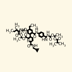 C=Cc1cc(C(=O)Nc2ccc(C(=N)NC(=O)OC(C)OC(=O)C(C)C)cc2)c(-c2ccc(C(=O)NCC3CC3)nc2C(=O)OC(C)OC(=O)[C@@H](N)[C@@H](C)CC)cc1OC